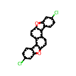 Clc1ccc2c(c1)oc1ccc3c(ccc4oc5cc(Cl)ccc5c43)c12